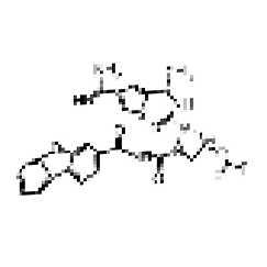 CC(NC(=O)[C@@H]1C[C@@H](OC(F)F)CN1C(=O)CNC(=O)c1ccc2c(c1)oc1ccccc12)c1cc(C(=N)N)cs1